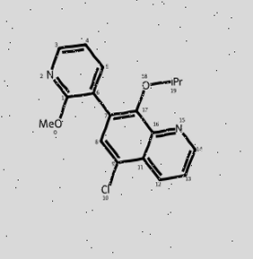 COc1ncccc1-c1cc(Cl)c2cccnc2c1OC(C)C